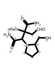 CCCCCC(CC=O)(C(N)=O)C(C(N)=O)N1CCCC1CO